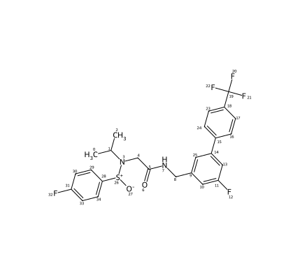 CC(C)N(CC(=O)NCc1cc(F)cc(-c2ccc(C(F)(F)F)cc2)c1)[S+]([O-])c1ccc(F)cc1